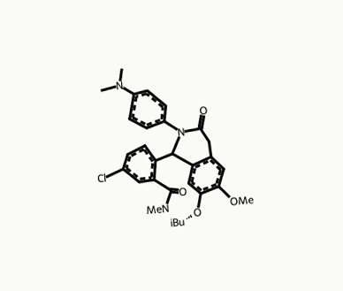 CC[C@@H](C)Oc1cc2c(cc1OC)CC(=O)N(c1ccc(N(C)C)cc1)C2c1ccc(Cl)cc1C(=O)NC